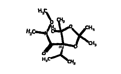 CON(C)C(=O)[C@]1(C(C)C)OC(C)(C)OC1(C)C